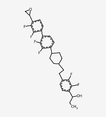 CCC(O)c1ccc(CCC2CCC(c3ccc(-c4ccc(C5CO5)c(F)c4F)c(F)c3F)CC2)c(F)c1F